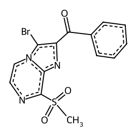 CS(=O)(=O)c1nccn2c(Br)c(C(=O)c3ccccc3)nc12